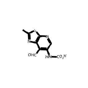 Cc1nc2c(C=O)c(NC(=O)O)cnc2s1